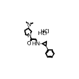 CN(C)[C@@H]1CCN(C(=O)CN[C@@H]2C[C@H]2c2ccccc2)C1.Cl.Cl